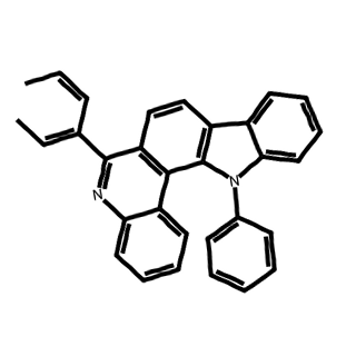 C/C=C\C(=C/C)c1nc2ccccc2c2c1ccc1c3ccccc3n(-c3ccccc3)c12